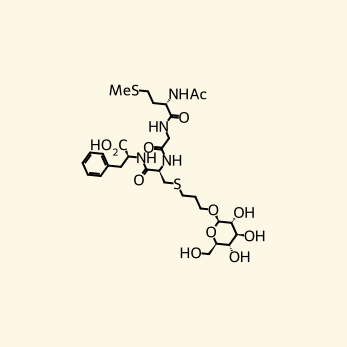 CSCC[C@H](NC(C)=O)C(=O)NCC(=O)N[C@@H](CSCCCO[C@@H]1O[C@H](CO)[C@@H](O)[C@H](O)[C@H]1O)C(=O)N[C@@H](Cc1ccccc1)C(=O)O